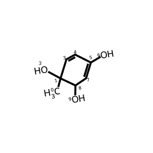 CC1(O)C=CC(O)=CC1O